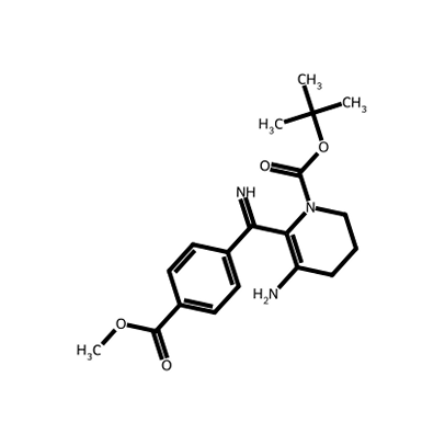 COC(=O)c1ccc(C(=N)C2=C(N)CCCN2C(=O)OC(C)(C)C)cc1